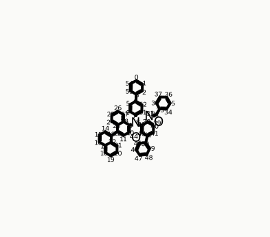 c1ccc(-c2ccc(N(c3ccc(-c4cccc5ccccc45)c4ccccc34)c3c4nc(-c5ccccc5)oc4cc4c3oc3ccccc34)cc2)cc1